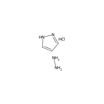 Cl.NN.c1cn[nH]c1